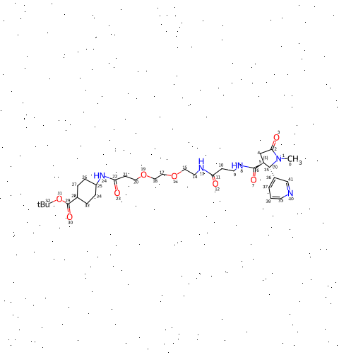 CN1C(=O)C[C@H](C(=O)NCCC(=O)NCCOCCOCCC(=O)NC2CCC(C(=O)OC(C)(C)C)CC2)[C@H]1c1cccnc1